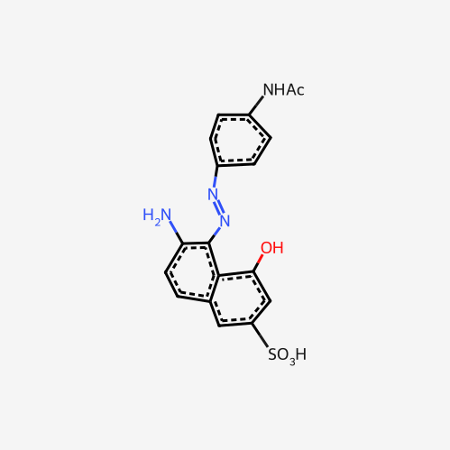 CC(=O)Nc1ccc(N=Nc2c(N)ccc3cc(S(=O)(=O)O)cc(O)c23)cc1